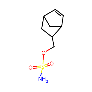 NS(=O)(=O)OCC1CC2C=CC1C2